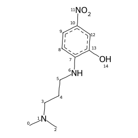 CN(C)CCCNc1ccc([N+](=O)[O-])cc1O